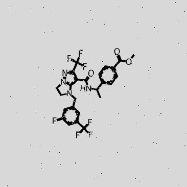 COC(=O)c1ccc(C(C)NC(=O)c2c(C(F)(F)F)nn3c2N(Cc2cc(F)cc(C(F)(F)F)c2)CC3)cc1